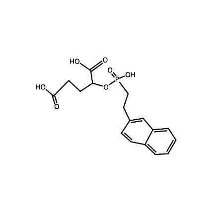 O=C(O)CCC(OP(=O)(O)CCc1ccc2ccccc2c1)C(=O)O